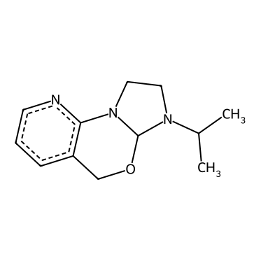 CC(C)N1CCN2c3ncccc3COC21